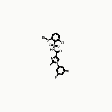 CCSc1cccc(Cl)c1S(=O)(=O)NC(=O)c1cn(-c2cc(F)cc(F)c2)c(C)n1